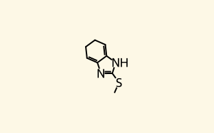 CSc1nc2c([nH]1)=CCCC=2